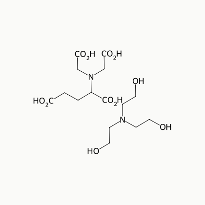 O=C(O)CCC(C(=O)O)N(CC(=O)O)CC(=O)O.OCCN(CCO)CCO